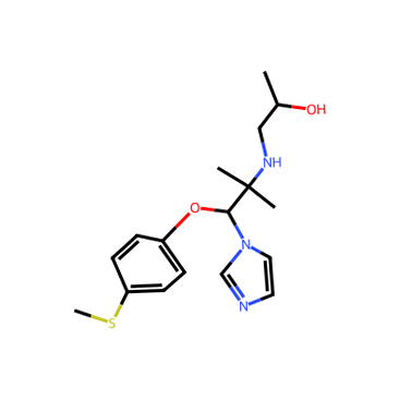 CSc1ccc(OC(n2ccnc2)C(C)(C)NCC(C)O)cc1